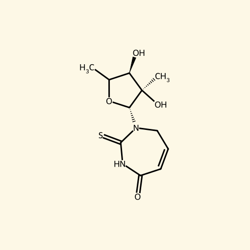 CC1O[C@@H](N2CC=CC(=O)NC2=S)[C@](C)(O)[C@@H]1O